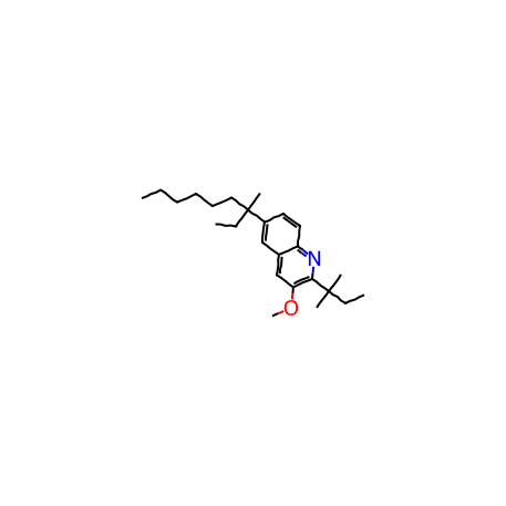 CCCCCCC(C)(CC)c1ccc2nc(C(C)(C)CC)c(OC)cc2c1